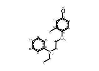 CCN(CCOc1ccc(Cl)cc1C)c1ccccc1